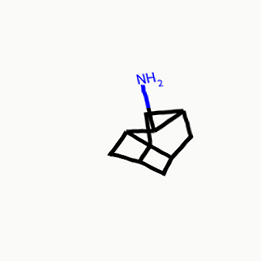 NC1C2CC3CC4CC1C34C2